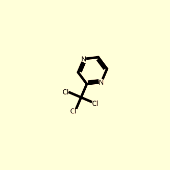 ClC(Cl)(Cl)c1cnccn1